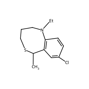 CCN1CCCSC(C)c2cc(Cl)ccc21